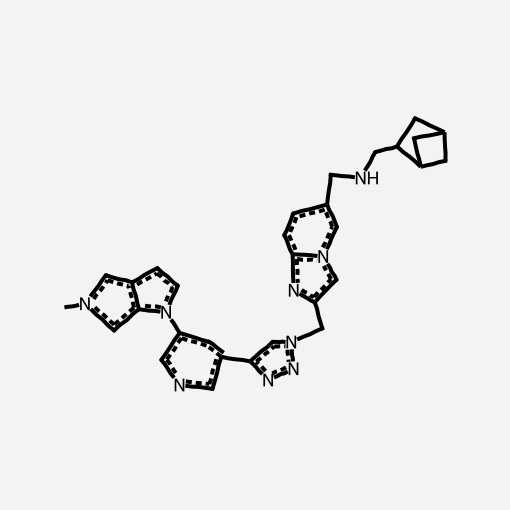 Cn1cc2ccn(-c3cncc(-c4cn(Cc5cn6cc(CNCC7CC8CC7C8)ccc6n5)nn4)c3)c2c1